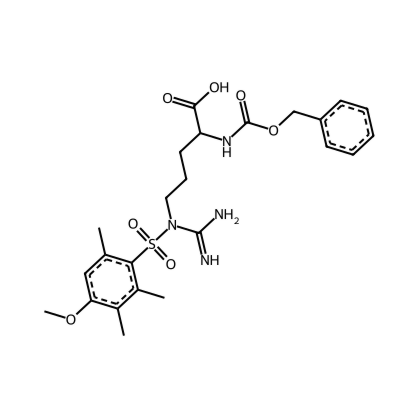 COc1cc(C)c(S(=O)(=O)N(CCCC(NC(=O)OCc2ccccc2)C(=O)O)C(=N)N)c(C)c1C